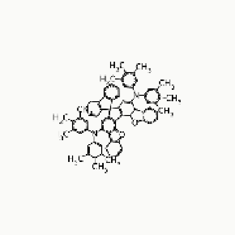 CC1=CC(N(c2cc(C)c(C)c(C)c2)c2cc3c(c4oc5c(c24)CCC=C5)C2=C(C=C(N(c4cc(C)c(C)c(C)c4)c4cc(C)c(C)c(C)c4)C4c5ccccc5OC24)C32C3=C(CCC=C3)c3ccccc32)=CC(C)C1C